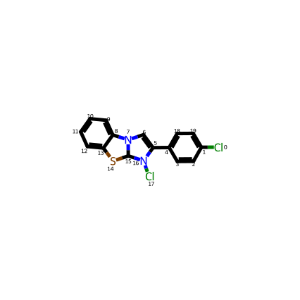 Clc1ccc(C2=CN3c4ccccc4SC3N2Cl)cc1